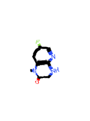 CN1C(=O)CNc2ncc(F)cc21